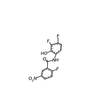 O=C(Nc1ccc(F)c(F)c1O)c1cc([N+](=O)[O-])ccc1F